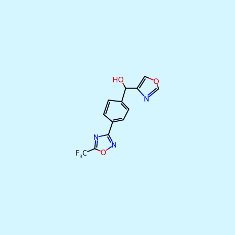 OC(c1ccc(-c2noc(C(F)(F)F)n2)cc1)c1cocn1